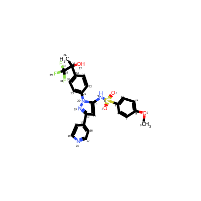 COc1ccc(S(=O)(=O)Nc2cc(-c3ccncc3)nn2-c2ccc(C(C)(O)C(F)(F)F)cc2)cc1